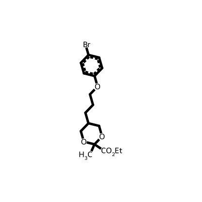 CCOC(=O)C1(C)OCC(CCCOc2ccc(Br)cc2)CO1